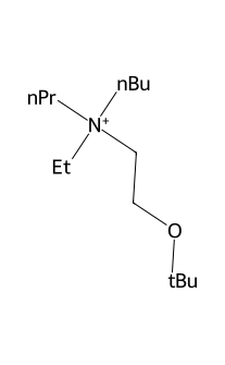 CCCC[N+](CC)(CCC)CCOC(C)(C)C